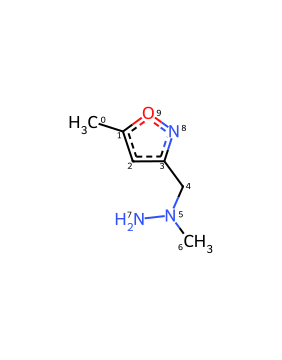 Cc1cc(CN(C)N)no1